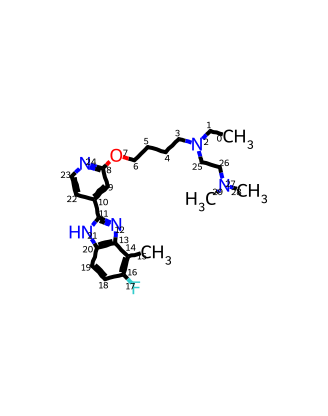 CCN(CCCCOc1cc(-c2nc3c(C)c(F)ccc3[nH]2)ccn1)CCN(C)C